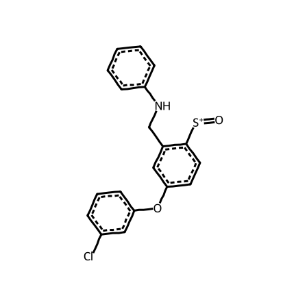 O=[S+]c1ccc(Oc2cccc(Cl)c2)cc1CNc1ccccc1